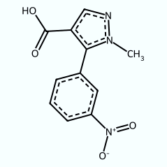 Cn1ncc(C(=O)O)c1-c1cccc([N+](=O)[O-])c1